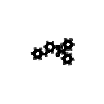 O=C(N[C@H]1CCCN(Cc2ccccc2)C1)C(c1ccccc1)c1ccccc1